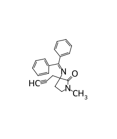 C#CCC1(N=C(c2ccccc2)c2ccccc2)CCN(C)C1=O